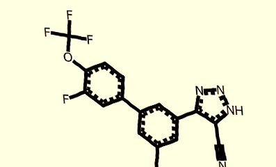 Cc1cc(-c2ccc(OC(F)(F)F)c(F)c2)cc(-c2nn[nH]c2C#N)c1